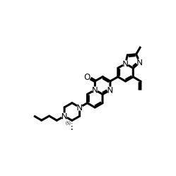 C=Cc1cc(-c2cc(=O)n3cc(N4CCN(CCCC)[C@@H](C)C4)ccc3n2)cn2cc(C)nc12